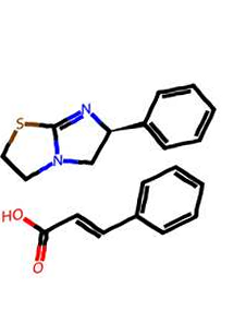 O=C(O)/C=C/c1ccccc1.c1ccc([C@H]2CN3CCSC3=N2)cc1